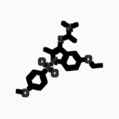 CCOc1ccc2c(c1)c(SC(C)N(C)C)c(C)n2S(=O)(=O)c1ccc(OC)cc1